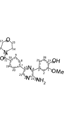 COc1cc(-c2nc(-c3ccc(C(=O)N4CCOCC4)cc3)cnc2N)ccc1O